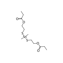 CCC(=O)OCC[S][Sn]([CH3])([CH3])[S]CCOC(=O)CC